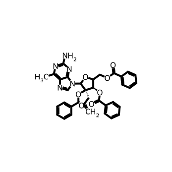 C=CC[C@]1(OC(=O)c2ccccc2)C(n2cnc3c(C)nc(N)nc32)OC(COC(=O)c2ccccc2)[C@H]1OC(=O)c1ccccc1